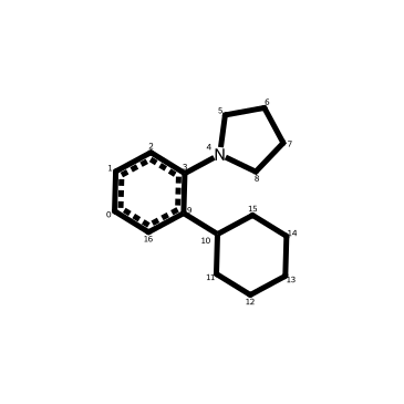 c1ccc(N2CCCC2)c(C2CCCCC2)c1